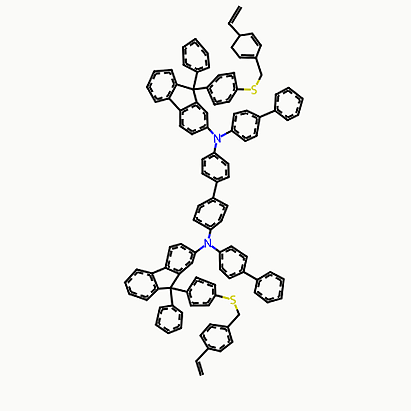 C=Cc1ccc(CSc2ccc(C3(c4ccccc4)c4ccccc4-c4ccc(N(c5ccc(-c6ccccc6)cc5)c5ccc(-c6ccc(N(c7ccc(-c8ccccc8)cc7)c7ccc8c(c7)C(c7ccccc7)(c7ccc(SCC9=CCC(C=C)C=C9)cc7)c7ccccc7-8)cc6)cc5)cc43)cc2)cc1